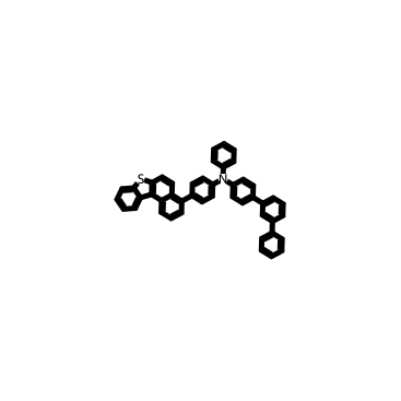 c1ccc(-c2cccc(-c3ccc(N(c4ccccc4)c4ccc(-c5cccc6c5ccc5sc7ccccc7c56)cc4)cc3)c2)cc1